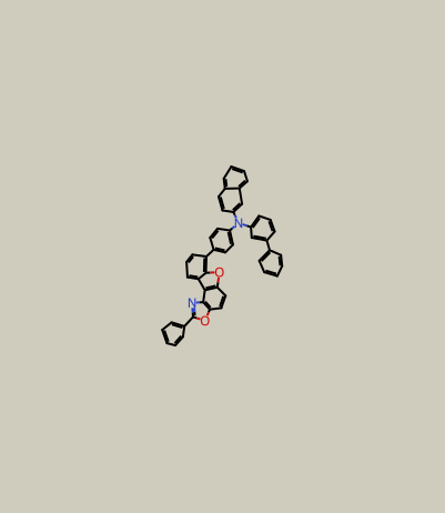 c1ccc(-c2cccc(N(c3ccc(-c4cccc5c4oc4ccc6oc(-c7ccccc7)nc6c45)cc3)c3ccc4ccccc4c3)c2)cc1